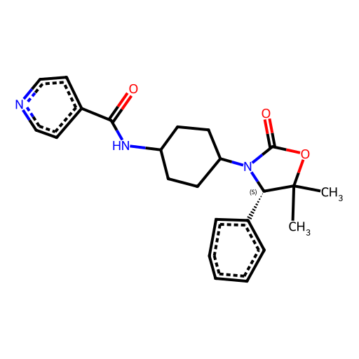 CC1(C)OC(=O)N(C2CCC(NC(=O)c3ccncc3)CC2)[C@H]1c1ccccc1